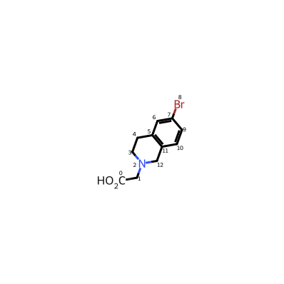 O=C(O)CN1CCc2cc(Br)ccc2C1